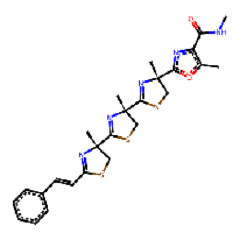 CNC(=O)c1nc([C@]2(C)CSC([C@]3(C)CSC([C@]4(C)CSC(/C=C/c5ccccc5)=N4)=N3)=N2)oc1C